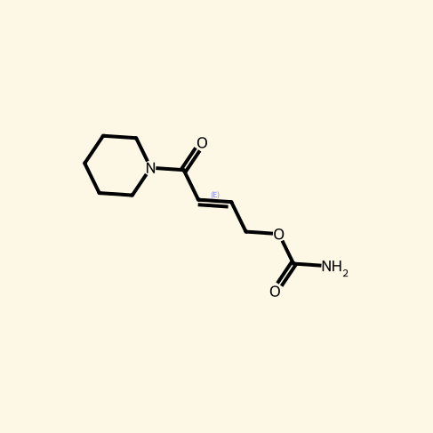 NC(=O)OC/C=C/C(=O)N1CCCCC1